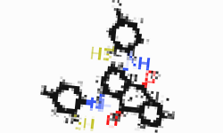 Cc1ccc(Nc2ccc(Nc3ccc(C)cc3S)c3c2C(=O)c2ccccc2C3=O)c(S)c1